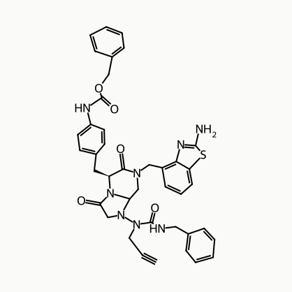 C#CCN(C(=O)NCc1ccccc1)N1CC(=O)N2C1CN(Cc1cccc3sc(N)nc13)C(=O)[C@@H]2Cc1ccc(NC(=O)OCc2ccccc2)cc1